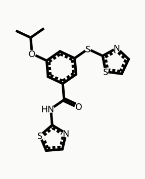 CC(C)Oc1cc(Sc2nccs2)cc(C(=O)Nc2nccs2)c1